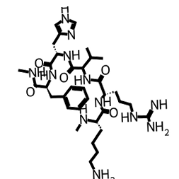 CNC(=O)[C@H](Cc1ccccc1)NC(=O)[C@H](Cc1c[nH]cn1)NC(=O)C(NC(=O)[C@H](CCCNC(=N)N)NC(=O)[C@H](CCCCN)NC)C(C)C